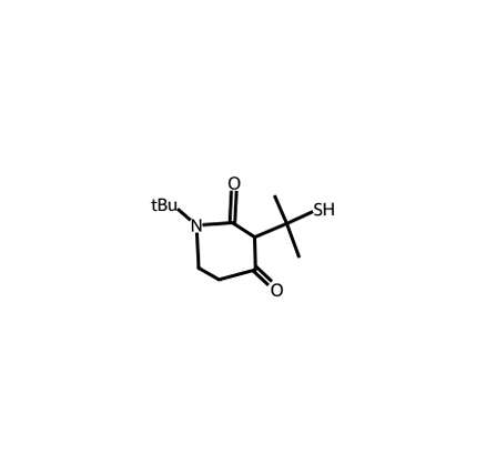 CC(C)(S)C1C(=O)CCN(C(C)(C)C)C1=O